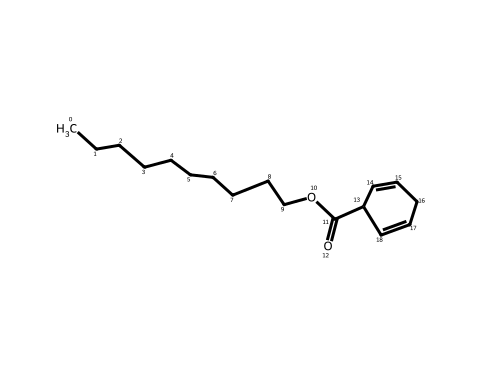 CCCCCCCCCCOC(=O)C1C=CCC=C1